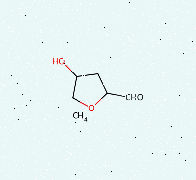 C.O=CC1CC(O)CO1